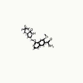 COc1cc2c(OC[C@@H]3C[C@@H](CC(F)(F)F)C(=O)N3)nccc2cc1C(N)=O